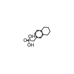 O=P(O)(O)Cc1ccc2c(c1)CCCC2